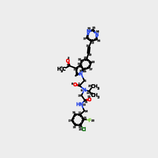 CC(=O)c1cn(CC(=O)N(CC(=O)NCc2cccc(Cl)c2F)C(C)C)c2ccc(C#Cc3cncnc3)cc12